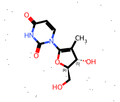 CC1=C(n2ccc(=O)[nH]c2=O)O[C@H](CO)[C@H]1O